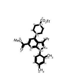 CCOC(=O)N1CCN(c2cc(C(=O)OC)nc3c2c(C(C)C)nn3C2C=CC(C)=CC2C)CC1